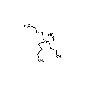 C#N.CCC[CH2][SnH]([CH2]CCC)[CH2]CCC